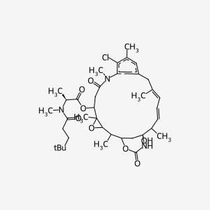 C/C1=C\C=C\C(C)C2(O)CC(OC(=O)N2)C(C)C2OC2(C)C(OC(=O)[C@H](C)N(C)C(=O)CCC(C)(C)C)CC(=O)N(C)c2cc(cc(C)c2Cl)C1